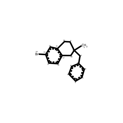 CC1(Cc2ccccc2)CCc2cc(Br)ccc2C1